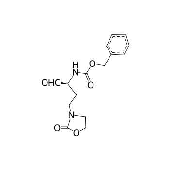 O=C[C@H](CCN1CCOC1=O)NC(=O)OCc1ccccc1